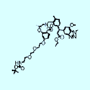 CCOC(=O)CC(c1ccc(C)c(CN2C[C@@H](C)Oc3cc(OCCOCCOCCNC(=O)OC(C)(C)C)ccc3S2(=O)=O)c1)c1cc(OC)c2c(c1)nnn2C